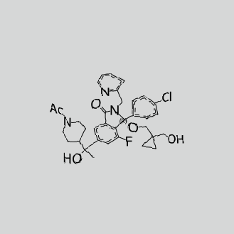 CC(=O)N1CCC(C(C)(O)c2cc(F)c3c(c2)C(=O)N(Cc2ccccn2)[C@@]3(OCC2(CO)CC2)c2ccc(Cl)cc2)CC1